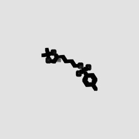 Cc1ccc(S(=O)(=O)OCCCC[C@H]2COC(C)(C)O2)cc1